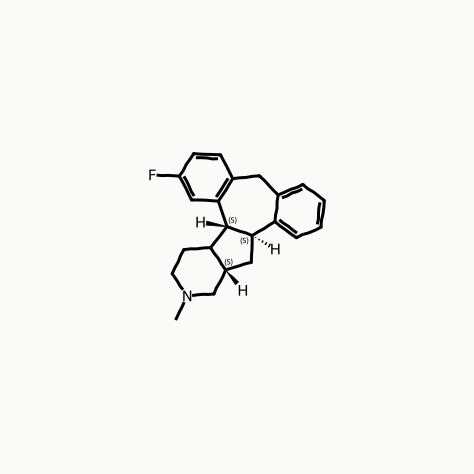 CN1CCC2[C@H](C[C@@H]3c4ccccc4Cc4ccc(F)cc4[C@@H]23)C1